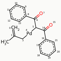 C=C(C)[CH2][Pd][CH](C(=O)c1ccccc1)C(=O)c1ccccc1